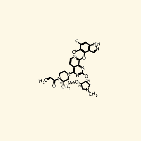 C=CC(=O)N1CCN(c2nc(O[C@@H]3CN(C)C[C@H]3OC)nc3c(Oc4c(Cl)c(F)cc5[nH]ncc45)nccc23)C[C@H]1C